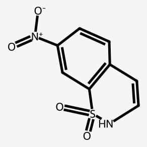 O=[N+]([O-])c1ccc2c(c1)S(=O)(=O)NC=C2